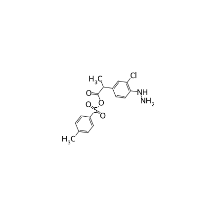 Cc1ccc(S(=O)(=O)OC(=O)C(C)c2ccc(NN)c(Cl)c2)cc1